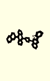 c1ccc2cc(-c3c4ccccc4c(-c4ccc(-c5c6ccccc6cc6c5sc5ccccc56)cc4)c4ccccc34)ccc2c1